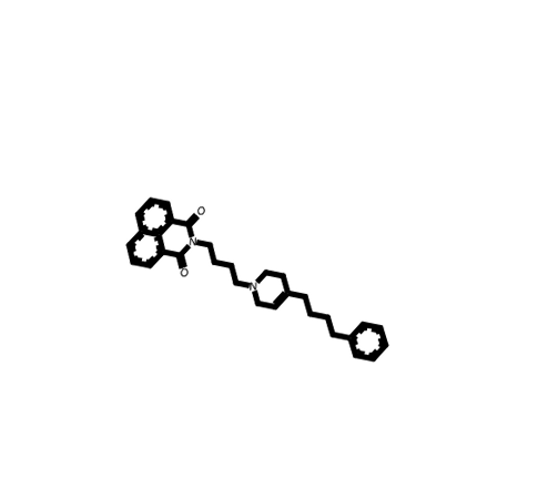 O=C1c2cccc3cccc(c23)C(=O)N1CCCCN1CC=C(CCCCc2ccccc2)CC1